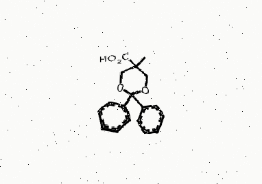 CC1(C(=O)O)COC(c2ccccc2)(c2ccccc2)OC1